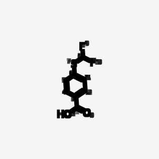 O=C(O)c1ccc(SC(F)F)cc1